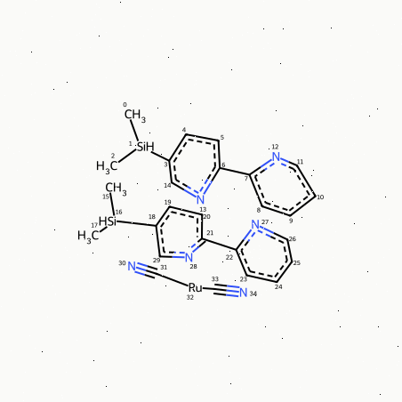 C[SiH](C)c1ccc(-c2ccccn2)nc1.C[SiH](C)c1ccc(-c2ccccn2)nc1.N#[C][Ru][C]#N